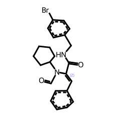 O=CN(/C(=C\c1ccccc1)C(=O)NCc1ccc(Br)cc1)C1CCCCC1